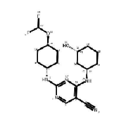 N#Cc1cnc(N[C@H]2CC[C@H](OC(F)F)CC2)nc1N[C@@H]1CCC[C@@H](O)C1